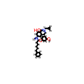 COc1cccc([C@@]23CCN(CC4CC4)C[C@@]2(O)CC[C@@H](N(C)C(=O)CCCCCc2ccccc2)C3)c1